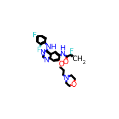 C=C(F)C(=O)Nc1cc2c(Nc3ccc(F)cc3F)ncnc2cc1OCCCN1CCOCC1